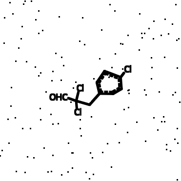 O=CC(Cl)(Cl)Cc1ccc(Cl)cc1